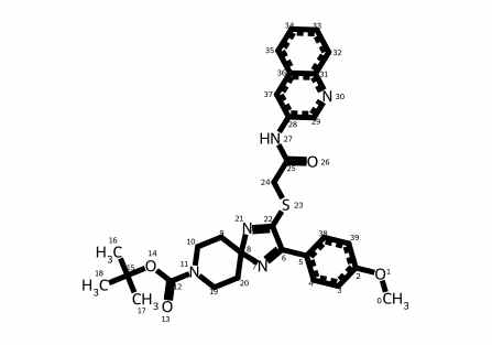 COc1ccc(C2=NC3(CCN(C(=O)OC(C)(C)C)CC3)N=C2SCC(=O)Nc2cnc3ccccc3c2)cc1